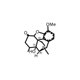 COc1ccc2c3c1OC1C(=O)CC(C)[C@@]4(O)[C@@H](C2)N(C)CC[C@]314